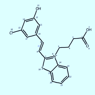 O=C(O)CCC[n+]1c(/C=C/c2cc(O)cc(Cl)c2)sc2ccccc21